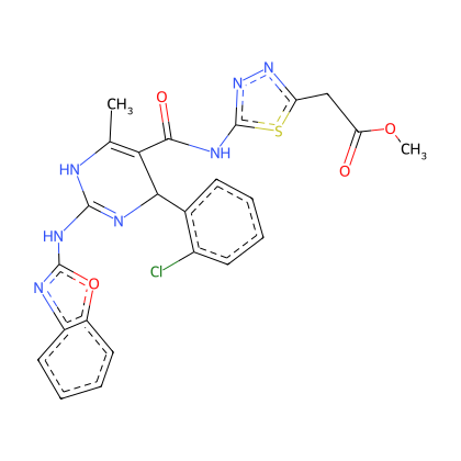 COC(=O)Cc1nnc(NC(=O)C2=C(C)NC(Nc3nc4ccccc4o3)=NC2c2ccccc2Cl)s1